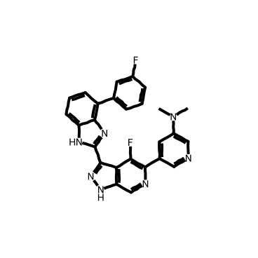 CN(C)c1cncc(-c2ncc3[nH]nc(-c4nc5c(-c6cccc(F)c6)cccc5[nH]4)c3c2F)c1